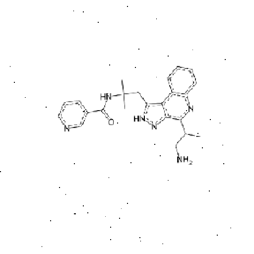 CC(CN)c1nc2ccccc2c2c(CC(C)(C)NC(=O)c3cccnc3)[nH]nc12